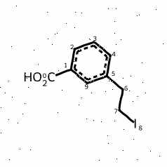 O=C(O)c1cccc(CCI)c1